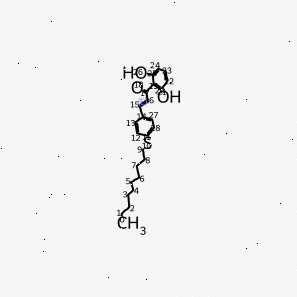 CCCCCCCCCCSc1ccc(/C=C/C(=O)c2c(O)cccc2O)cc1